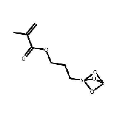 C=C(C)C(=O)OCCC[Si]12OC(O1)O2